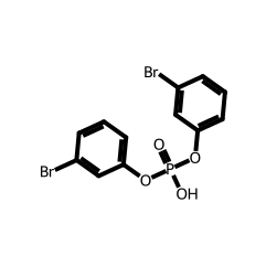 O=P(O)(Oc1cccc(Br)c1)Oc1cccc(Br)c1